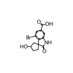 O=C(O)c1cc(Br)c2c(c1)NC(=O)C21CCC(O)C1